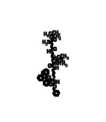 CC(C)(C)OC(=O)N[C@@H](CCCCNC(=O)CC[C@H](N)C(=O)OC(C)(C)C)C(=O)NCCCC[C@H](NC(=O)OCc1ccccc1)C(=O)OC(c1ccccc1)(c1ccccc1)c1ccccc1Cl